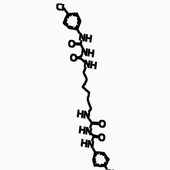 O=C(NCCCCCCNC(=O)NC(=O)Nc1ccc(Cl)cc1)NC(=O)Nc1ccc(Cl)cc1